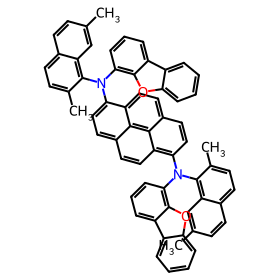 Cc1ccc2ccc(C)c(N(c3ccc4ccc5c(N(c6c(C)ccc7ccc(C)cc67)c6cccc7c6oc6ccccc67)ccc6ccc3c4c65)c3cccc4c3oc3ccccc34)c2c1